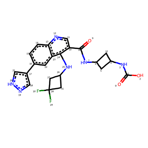 O=C(O)NC1CC(NC(=O)c2cnc3ccc(-c4cn[nH]c4)cc3c2NC2CC(F)(F)C2)C1